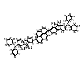 CCC1(CC)c2cc(-c3ccc4ccc5c(-c6ccc7c(c6)C(CC)(CC)C6C=C(N(c8ccccc8)c8ccccc8)C=CC76)ccc6ccc3c4c65)ccc2-c2ccc(N(c3ccccc3)c3ccccc3)cc21